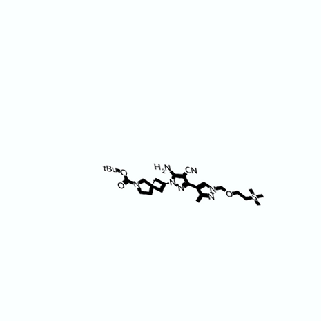 Cc1nn(COCCS(C)(C)C)cc1-c1nn([C@H]2C[C@@]3(CCN(C(=O)OC(C)(C)C)C3)C2)c(N)c1C#N